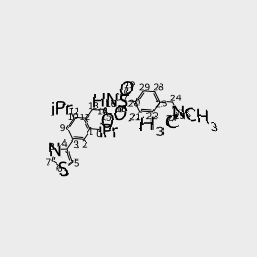 CC(C)c1cc(-c2cscn2)cc(C(C)C)c1CC(=O)NS(=O)(=O)c1ccc(CN(C)C)cc1